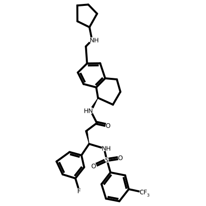 O=C(C[C@@H](NS(=O)(=O)c1cccc(C(F)(F)F)c1)c1cccc(F)c1)N[C@@H]1CCCc2cc(CNC3CCCC3)ccc21